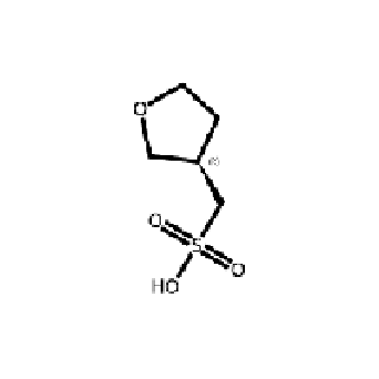 O=S(=O)(O)C[C@@H]1CCOC1